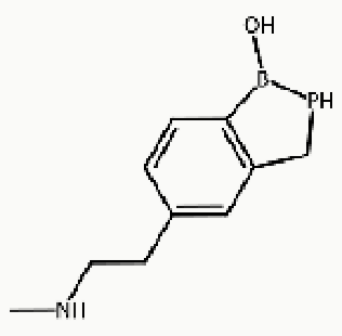 CNCCc1ccc2c(c1)CPB2O